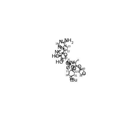 C[C@H](NP(=O)(OC[C@H]1O[C@@](C#N)(c2ccc3c(N)ncnn23)[C@H](O)[C@@H]1O)Oc1ccc(C(C)(C)C)cc1)C(=O)O[C@H]1CCOC1